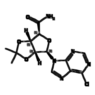 CC1(C)O[C@@H]2[C@H](O1)[C@@H](C(N)=O)O[C@H]2n1cnc2c(Cl)ncnc21